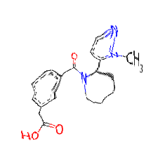 Cn1nccc1C1CCCN1C(=O)c1cccc(C(=O)O)c1